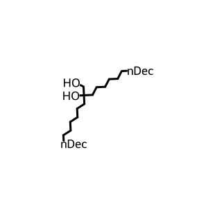 CCCCCCCCCCCCCCCCC(O)(CO)CCCCCCCCCCCCCCCC